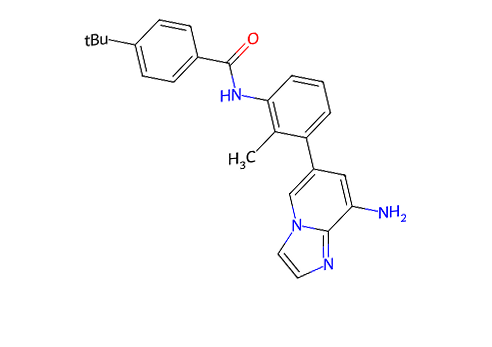 Cc1c(NC(=O)c2ccc(C(C)(C)C)cc2)cccc1-c1cc(N)c2nccn2c1